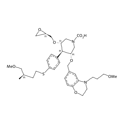 COCCCN1CCOc2ccc(CO[C@H]3CN(C(=O)O)C[C@@H](OC[C@H]4CO4)[C@@H]3c3ccc(SCC[C@@H](C)COC)cc3)cc21